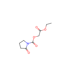 CCOC(=O)COC(=O)N1CCCC1=O